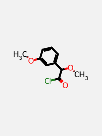 COc1cccc(C(OC)C(=O)Cl)c1